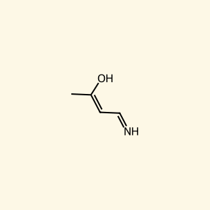 CC(O)=CC=N